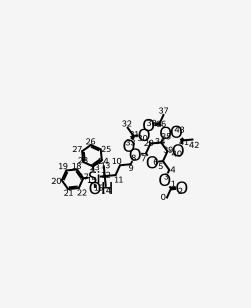 CC(=O)OCC1O[C@@H](OCCCC(C)(C)[Si](O)(c2ccccc2)c2ccccc2)[C@@H](OC(C)=O)C(OC(C)=O)[C@@H]1OC(C)=O